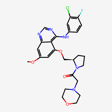 COc1cc(OC[C@H]2CCCN2C(=O)CN2CCOCC2)c2c(Nc3ccc(F)c(Cl)c3)ncnc2c1